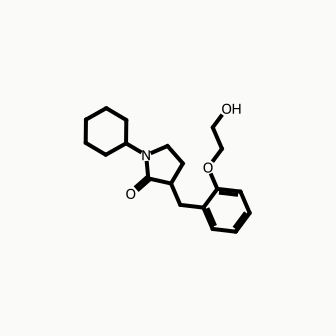 O=C1C(Cc2ccccc2OCCO)CCN1C1CCCCC1